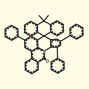 CC1(C)c2ccccc2C2(c3ccccc31)c1cc(-c3ccccc3)cc(-c3ccccc3)c1-n1c(=O)c3ccccc3c3cc(-c4ccccc4)cc2c31